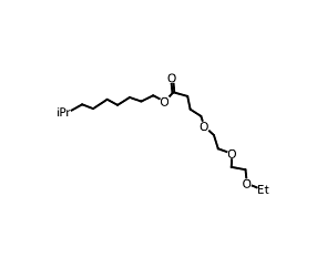 CCOCCOCCOCCCC(=O)OCCCCCCCC(C)C